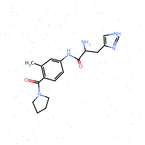 Cc1cc(NC(=O)C(N)Cc2c[nH]cn2)ccc1C(=O)N1CCCC1